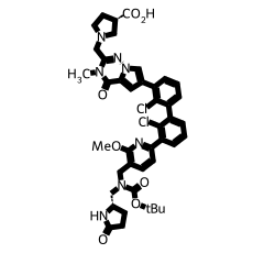 COc1nc(-c2cccc(-c3cccc(-c4cc5c(=O)n(C)c(CN6CC[C@H](C(=O)O)C6)nn5c4)c3Cl)c2Cl)ccc1CN(C[C@@H]1CCC(=O)N1)C(=O)OC(C)(C)C